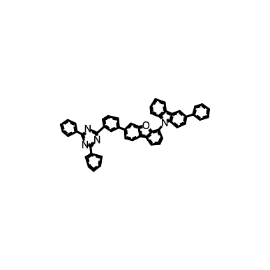 c1ccc(-c2ccc3c(c2)c2ccccc2n3-c2cccc3c2oc2cc(-c4cccc(-c5nc(-c6ccccc6)nc(-c6ccccc6)n5)c4)ccc23)cc1